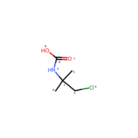 CC(C)(CCl)NC(=O)O